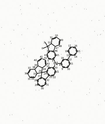 CC1(C)c2ccc(N(c3cccc(-c4ccccc4)c3)c3ccc4c(c3)C3(c5ccccc5-4)C4C=CC=CC4C4C=CC=CC43)cc2C2C=CC=CC21